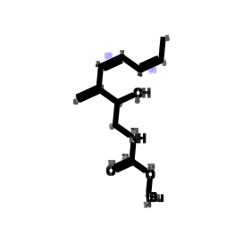 C=C(/C=C\C=C/C)C(O)CNC(=O)OC(C)(C)C